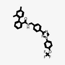 Cc1ccc(-c2ccccc2C(=O)NCc2ccc(-c3ncn(-c4ccc(OC(F)(F)F)cc4)n3)cc2)c(C)c1